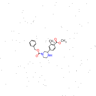 COC(=O)c1ccc(C2CN(C(=O)OCc3ccccc3)CCN2)cc1C